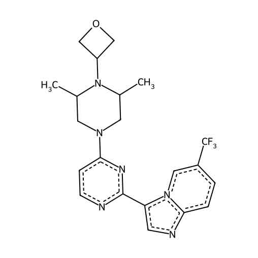 CC1CN(c2ccnc(-c3cnc4ccc(C(F)(F)F)cn34)n2)CC(C)N1C1COC1